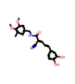 COc1cc(CNC(=O)/C(C#N)=C/C=C/c2ccc(O)c(O)c2)cc(C)c1OC